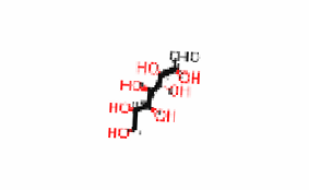 O=C[C@@H](O)[C@H](O)[C@H](O)C(O)C(O)C(O)CO